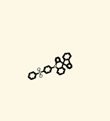 O=S(=O)(c1ccccc1)c1ccc(N2c3ccccc3C3(c4ccccc4-c4ccccc43)c3ccccc32)cc1